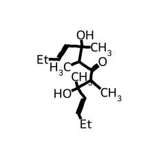 CCC=CC(C)(O)C(C)C(=O)C(C)C(C)(O)C=CCC